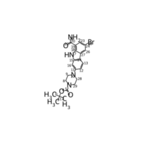 CC(C)(C)OC(=O)N1CCN(c2ccc3c(c2)[nH]c2c(C(N)=O)cc(Br)cc23)CC1